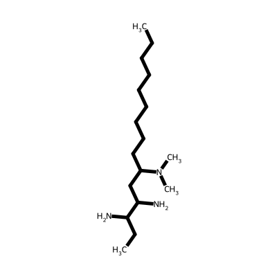 CCCCCCCCCC(CC(N)C(N)CC)N(C)C